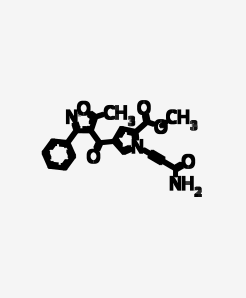 COC(=O)c1cc(C(=O)c2c(-c3ccccc3)noc2C)cn1C#CC(N)=O